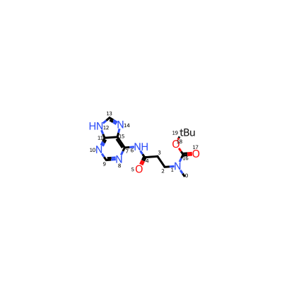 CN(CCC(=O)Nc1ncnc2[nH]cnc12)C(=O)OC(C)(C)C